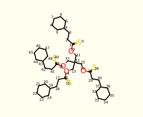 S=C(CCC1CCCCC1)OCC(COC(=S)CCC1CCCCC1)(COC(=S)CCC1CCCCC1)COC(=S)CCC1CCCCC1